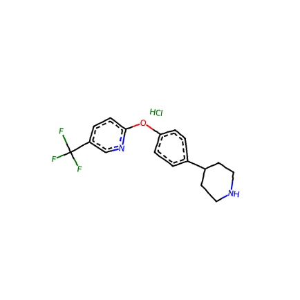 Cl.FC(F)(F)c1ccc(Oc2ccc(C3CCNCC3)cc2)nc1